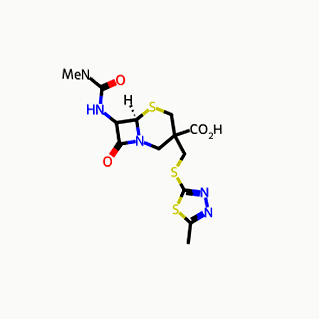 CNC(=O)NC1C(=O)N2CC(CSc3nnc(C)s3)(C(=O)O)CS[C@H]12